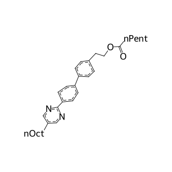 CCCCCCCCc1cnc(-c2ccc(-c3ccc(CCOC(=O)CCCCC)cc3)cc2)nc1